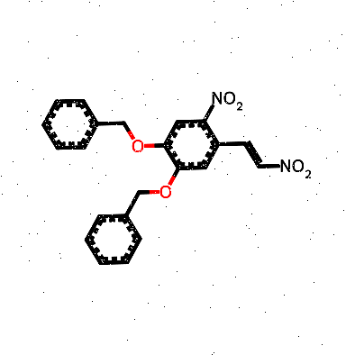 O=[N+]([O-])C=Cc1cc(OCc2ccccc2)c(OCc2ccccc2)cc1[N+](=O)[O-]